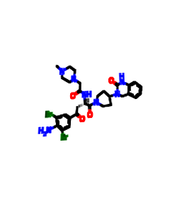 CN1CCN(CC(=O)N[C@@H](CC(=O)c2cc(Br)c(N)c(Br)c2)C(=O)N2CCC(N3Cc4ccccc4NC3=O)CC2)CC1